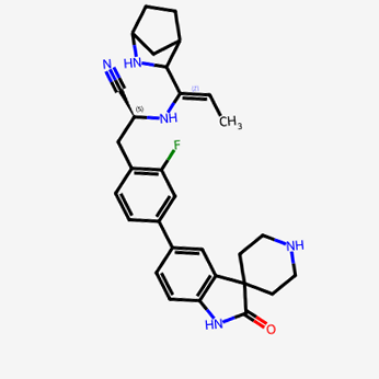 C/C=C(\N[C@H](C#N)Cc1ccc(-c2ccc3c(c2)C2(CCNCC2)C(=O)N3)cc1F)C1NC2CCC1C2